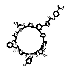 COC(=O)[C@H]1CC[C@H](NC(=O)c2csc(-c3ccc4c(n3)-c3csc(n3)-c3csc(n3)[C@@H]3[C@@H](C)[C@@H](O)CN3C(=O)[C@H](Cc3ccc(O)cc3)NC(=O)c3csc(n3)C([C@H](O)c3ccccc3)NC(=O)c3nc(sc3C)[C@H](CC(N)=O)NC(=O)c3csc-4n3)n2)CC1